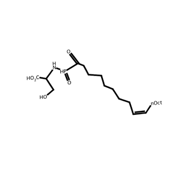 CCCCCCCC/C=C\CCCCCCCC(=O)[PH](=O)NC(CO)C(=O)O